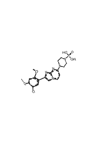 COc1cc(OC)c(-c2cn3ccc(N4CCN(P(=O)(O)O)CC4)nc3n2)cc1Cl